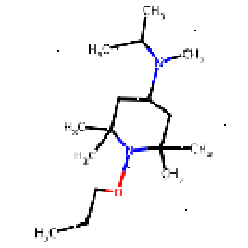 CCCON1C(C)(C)CC(N(C)C(C)C)CC1(C)C